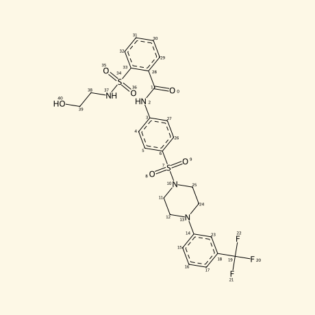 O=C(Nc1ccc(S(=O)(=O)N2CCN(c3cccc(C(F)(F)F)c3)CC2)cc1)c1ccccc1S(=O)(=O)NCCO